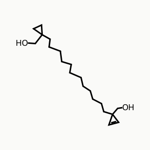 OCC1(CCCCCCCCCCCCC2(CO)CC2)C=C1